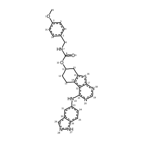 COc1ccc(CNC(=O)OC2CCc3c(sc4ncnc(Nc5ccc6[nH]ncc6c5)c34)C2)cc1